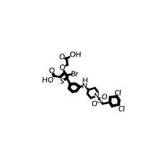 O=C(O)COc1c(C(=O)O)sc(-c2cccc(NC3CCN(S(=O)(=O)Cc4cc(Cl)cc(Cl)c4)CC3)c2)c1Br